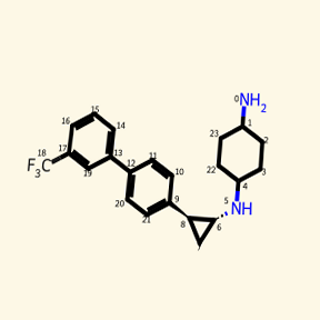 NC1CCC(N[C@@H]2C[C@H]2c2ccc(-c3cccc(C(F)(F)F)c3)cc2)CC1